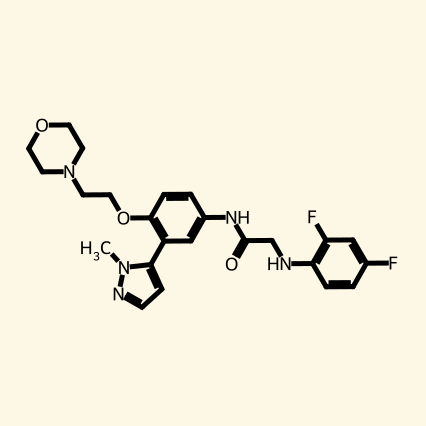 Cn1nccc1-c1cc(NC(=O)CNc2ccc(F)cc2F)ccc1OCCN1CCOCC1